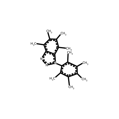 Cc1c(C)c(C)c(-n2nnc3c(C)c(C)c(C)c(C)c32)c(C)c1C